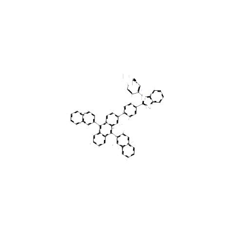 C#C/C=C(\C=C/C)n1c(-c2ccc(-c3ccc4c(-c5ccc6ccccc6c5)c5ccccc5c(-c5ccc6ccccc6c5)c4c3)cc2)nc2ccccc21